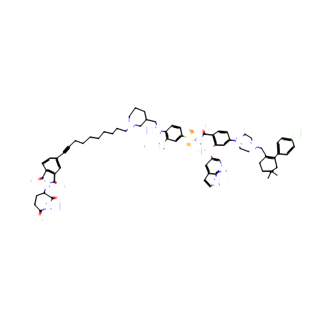 CC1(C)CCC(CN2CCN(c3ccc(C(=O)NS(=O)(=O)c4ccc(NCC5CCCN(CCCCCCCCC#Cc6ccc7c(c6)C(=O)N(C6CCC(=O)NC6=O)C7=O)C5)c([N+](=O)[O-])c4)c(Oc4cnc5[nH]ccc5c4)c3)CC2)=C(c2ccc(Cl)cc2)C1